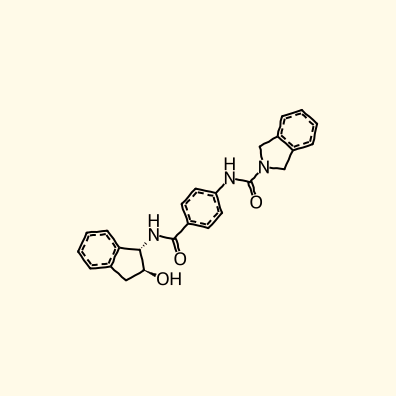 O=C(N[C@H]1c2ccccc2C[C@@H]1O)c1ccc(NC(=O)N2Cc3ccccc3C2)cc1